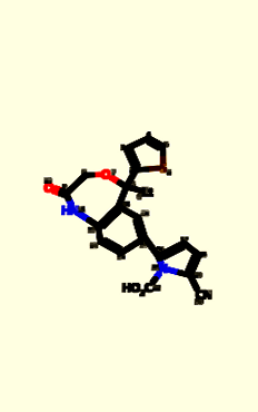 CCC1(c2cccs2)OCC(=O)Nc2ccc(-c3ccc(C#N)n3C(=O)O)cc21